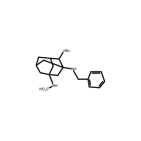 CCCCC1C2CC3CC(NC(=O)O)(C2)CC1(NCc1ccccc1)C3